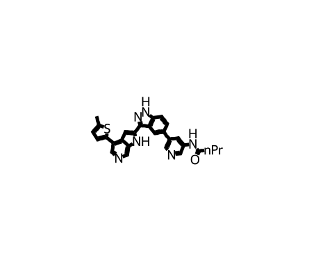 CCCC(=O)Nc1cncc(-c2ccc3[nH]nc(-c4cc5c(-c6ccc(C)s6)cncc5[nH]4)c3c2)c1